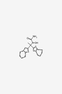 CC(c1cc2ccccc2s1)(c1cc2ccccc2s1)N(O)C(N)=O